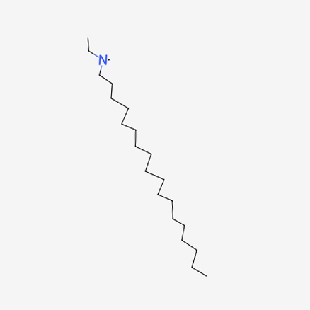 CCCCCCCCCCCCCCCCCC[N]CC